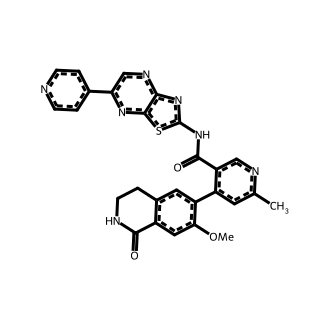 COc1cc2c(cc1-c1cc(C)ncc1C(=O)Nc1nc3ncc(-c4ccncc4)nc3s1)CCNC2=O